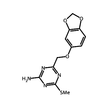 CSc1nc(N)nc(COc2ccc3c(c2)OCO3)n1